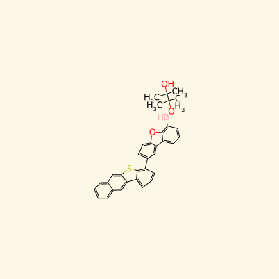 CC(C)(O)C(C)(C)OBc1cccc2c1oc1ccc(-c3cccc4c3sc3cc5ccccc5cc34)cc12